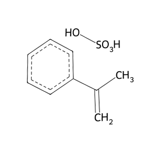 C=C(C)c1ccccc1.O=S(=O)(O)O